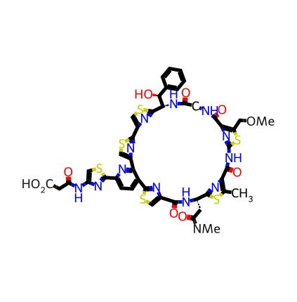 CNC(=O)C[C@@H]1NC(=O)c2csc(n2)-c2ccc(-c3nc(NC(=O)CC(=O)O)cs3)nc2-c2csc(n2)-c2csc(n2)[C@H]([C@@H](O)c2ccccc2)NC(=O)CNC(=O)c2nc(sc2COC)NC(=O)c2nc1sc2C